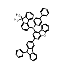 CC1(C)c2ccccc2-c2c(N(c3ccc(-c4ccccc4)cc3)c3cc(-c4ccc5c(c4)c4ccccc4n5-c4ccccc4)cc4oc5ccccc5c34)cccc21